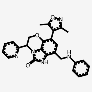 Cc1noc(C)c1-c1cc(CNc2ccccc2)c2[nH]c(=O)n3c2c1OCC3c1ccccn1